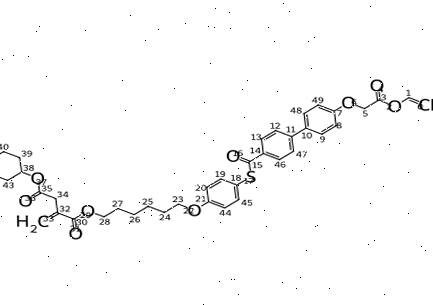 C=COC(=O)COc1ccc(-c2ccc(C(=O)Sc3ccc(OCCCCCCOC(=O)C(=C)CC(=O)OC4CCCCC4)cc3)cc2)cc1